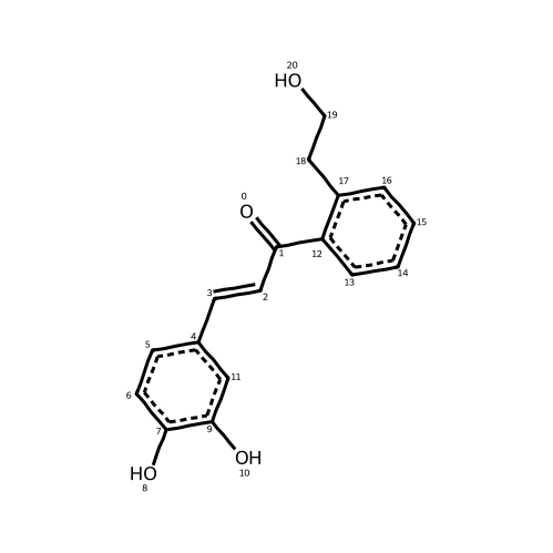 O=C(/C=C/c1ccc(O)c(O)c1)c1ccccc1CCO